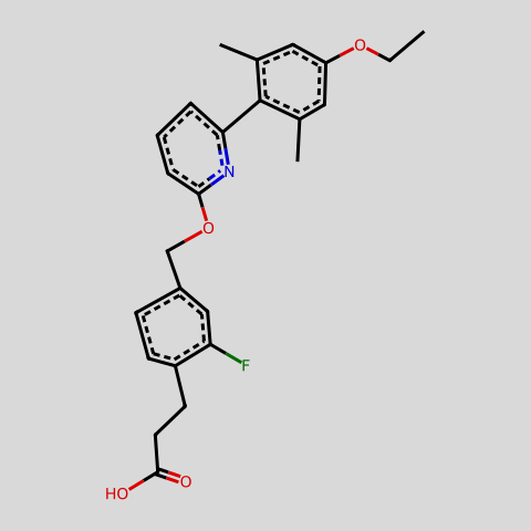 CCOc1cc(C)c(-c2cccc(OCc3ccc(CCC(=O)O)c(F)c3)n2)c(C)c1